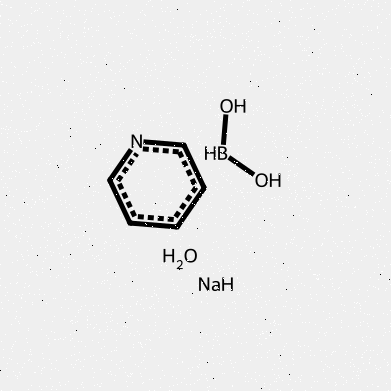 O.OBO.[NaH].c1ccncc1